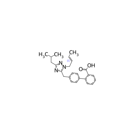 C/C=C/Cn1nc(CC(C)C)nc1Cc1ccc(-c2ccccc2C(=O)O)cc1